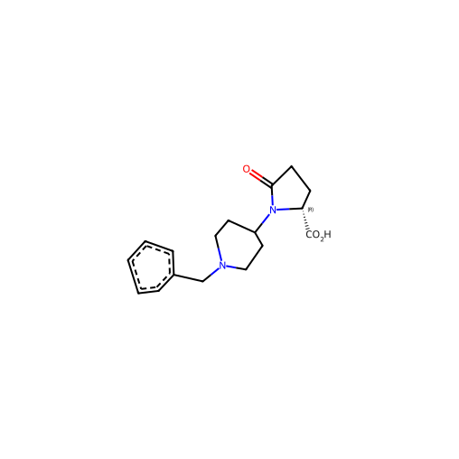 O=C(O)[C@H]1CCC(=O)N1C1CCN(Cc2ccccc2)CC1